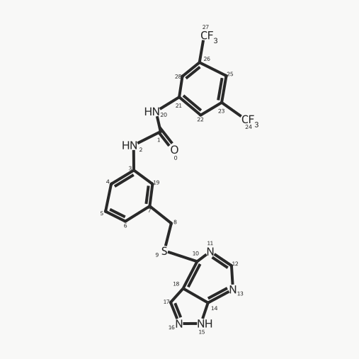 O=C(Nc1cccc(CSc2ncnc3[nH]ncc23)c1)Nc1cc(C(F)(F)F)cc(C(F)(F)F)c1